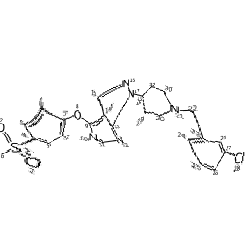 CS(=O)(=O)c1ccc(Oc2ncnc3c2cnn3C2CCN(Cc3cccc(Cl)c3)CC2)cc1